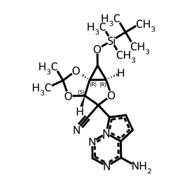 CC1(C)O[C@H]2C(C#N)(c3ccc4c(N)ncnn34)O[C@@H]3C(O[Si](C)(C)C(C)(C)C)[C@@]32O1